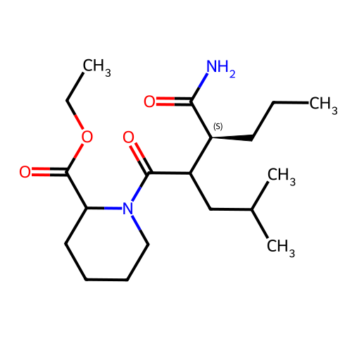 CCC[C@H](C(N)=O)C(CC(C)C)C(=O)N1CCCCC1C(=O)OCC